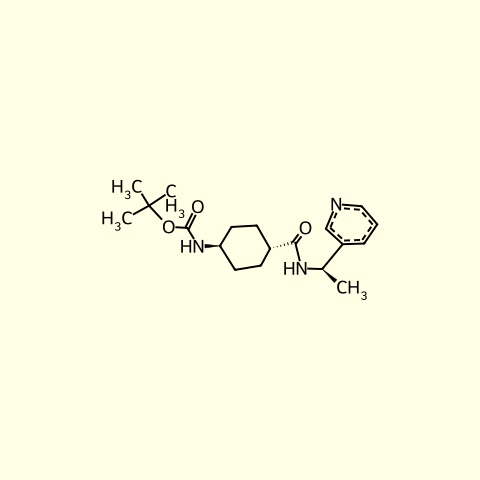 C[C@@H](NC(=O)[C@H]1CC[C@H](NC(=O)OC(C)(C)C)CC1)c1cccnc1